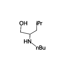 CCCCNC(CO)CC(C)C